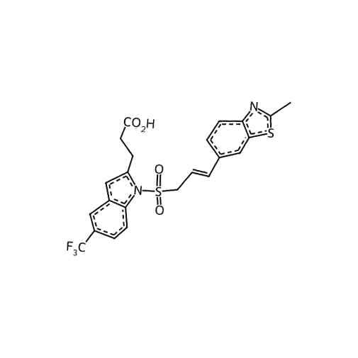 Cc1nc2ccc(C=CCS(=O)(=O)n3c(CCC(=O)O)cc4cc(C(F)(F)F)ccc43)cc2s1